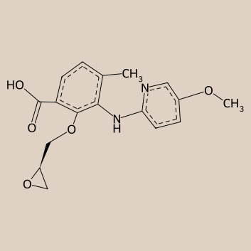 COc1ccc(Nc2c(C)ccc(C(=O)O)c2OC[C@H]2CO2)nc1